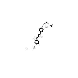 COCCOc1cc2[nH]nc(-c3cc(-c4ccc(C(=O)N5CCCN(C6COC6)CC5)cc4)no3)c2cc1F